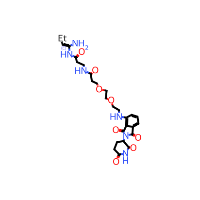 CC/C=C(\N)NC(=O)CCNC(=O)CCOCCOCCNc1cccc2c1C(=O)N(C1CCC(=O)NC1=O)C2=O